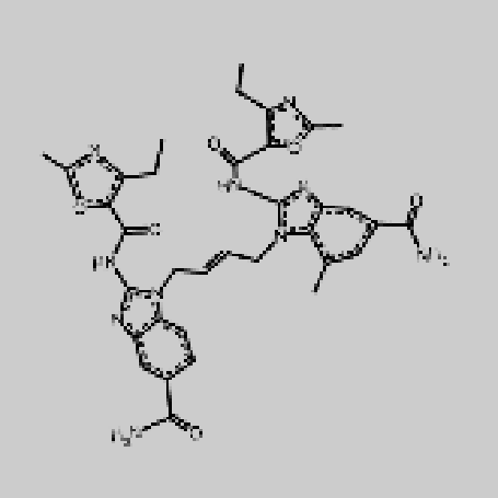 CCc1nc(C)oc1C(=O)Nc1nc2cc(C(N)=O)ccc2n1CC=CCn1c(NC(=O)c2oc(C)nc2CC)nc2cc(C(N)=O)cc(C)c21